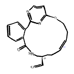 O=C[C@@H]1C/C=C\CCOc2ccnc(n2)-c2ccccc2C(=O)N1